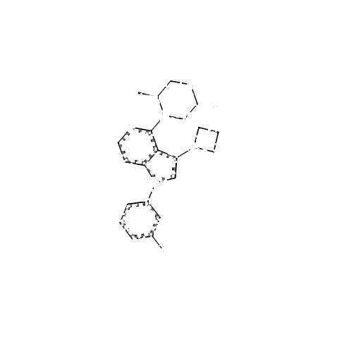 C[C@@H]1CN(c2nccc3c2c(N2CCC2)cn3-c2cccc(F)c2)[C@@H](C)CN1